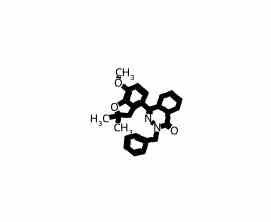 COc1ccc(C2=NN(Cc3ccccc3)C(=O)C3CC=CCC23)c2c1OC(C)(C)C2